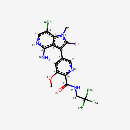 COc1cc(-c2c(I)n(C)c3c(Br)cnc(N)c23)cnc1C(=O)NCC(F)(F)F